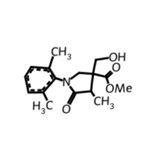 COC(=O)C1(CO)CN(c2c(C)cccc2C)C(=O)C1C